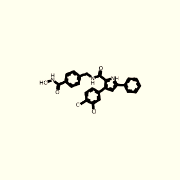 O=C(NO)c1ccc(CNC(=O)c2[nH]c(-c3ccccc3)cc2-c2ccc(Cl)c(Cl)c2)cc1